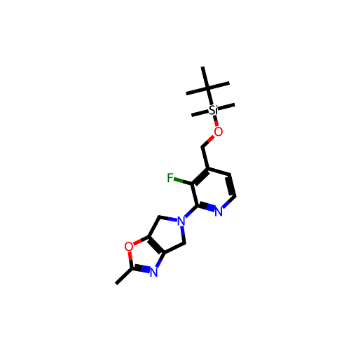 Cc1nc2c(o1)CN(c1nccc(CO[Si](C)(C)C(C)(C)C)c1F)C2